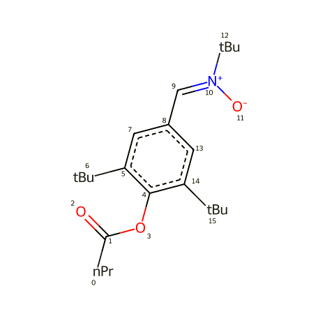 CCCC(=O)Oc1c(C(C)(C)C)cc(C=[N+]([O-])C(C)(C)C)cc1C(C)(C)C